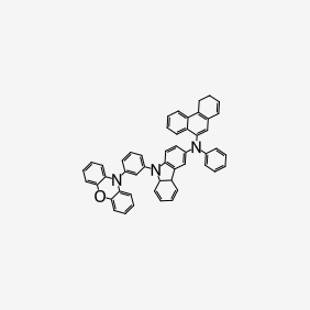 C1=CC2c3cc(N(c4ccccc4)c4cc5c(c6ccccc46)CCC=C5)ccc3N(c3cccc(N4c5ccccc5Oc5ccccc54)c3)C2C=C1